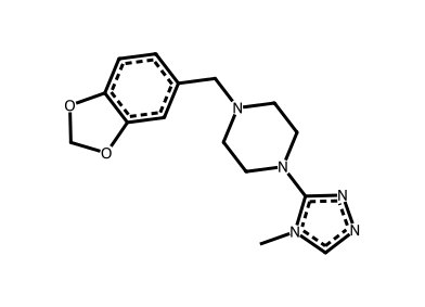 Cn1cnnc1N1CCN(Cc2ccc3c(c2)OCO3)CC1